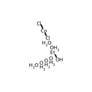 CCO.O.O.O.O.O.O.[Cl][Co][Cl]